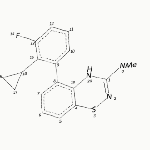 CNC1=NSc2cccc(-c3cccc(F)c3C3CC3)c2N1